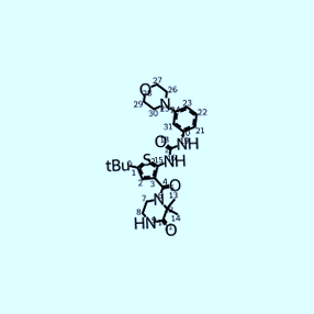 CC(C)(C)c1cc(C(=O)N2CCNC(=O)C2(C)C)c(NC(=O)Nc2cccc(N3CCOCC3)c2)s1